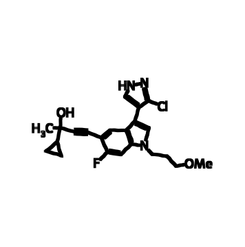 COCCCn1cc(-c2c[nH]nc2Cl)c2cc(C#CC(C)(O)C3CC3)c(F)cc21